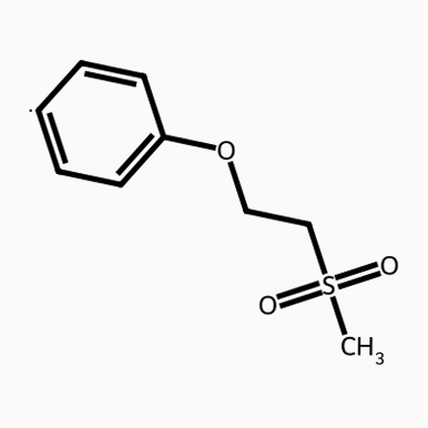 CS(=O)(=O)CCOc1cc[c]cc1